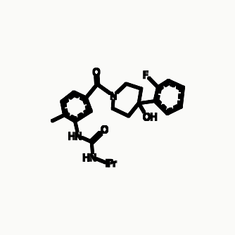 Cc1ccc(C(=O)N2CCC(O)(c3ccccc3F)CC2)cc1NC(=O)NC(C)C